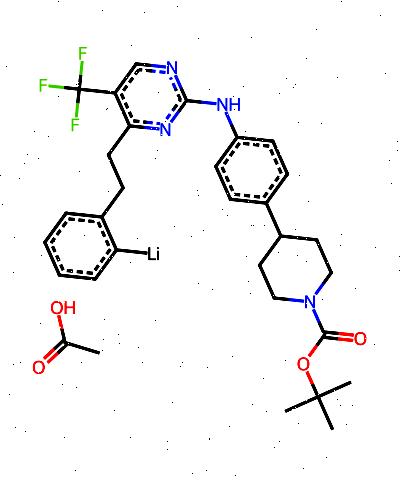 CC(=O)O.[Li][c]1ccccc1CCc1nc(Nc2ccc(C3CCN(C(=O)OC(C)(C)C)CC3)cc2)ncc1C(F)(F)F